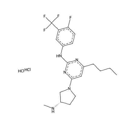 CCCCc1cc(N2CC[C@H](NC)C2)nc(Nc2ccc(F)c(C(F)(F)F)c2)n1.Cl.Cl